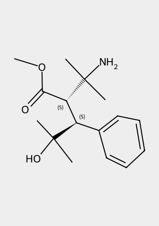 COC(=O)[C@@H]([C@@H](c1ccccc1)C(C)(C)O)C(C)(C)N